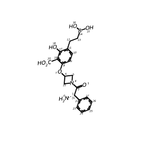 N[C@H](C(=O)N1CC(Oc2ccc(CCB(O)O)c(O)c2C(=O)O)C1)c1ccccc1